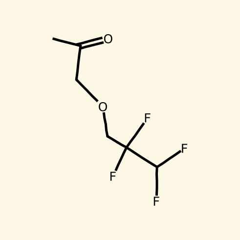 CC(=O)COCC(F)(F)C(F)F